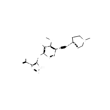 COc1c(C#CC2=CCN(C)CC2)cnc(Oc2[nH]nnc2C(=O)O)c1F